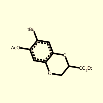 CCOC(=O)C1COc2cc(OC(C)=O)c(C(C)(C)C)cc2O1